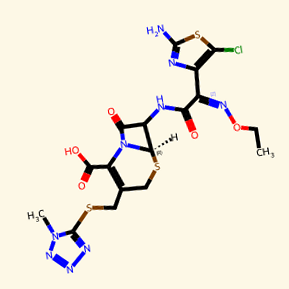 CCO/N=C(\C(=O)NC1C(=O)N2C(C(=O)O)=C(CSc3nnnn3C)CS[C@H]12)c1nc(N)sc1Cl